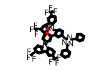 N#Cc1ccc(-n2c3ccc(C(F)(F)F)cc3c3cc(C(F)(F)F)ccc32)cc1-c1cc(-c2nc(-c3ccccc3)nc(-c3ccccc3)n2)ccc1-n1c2ccc(C(F)(F)F)cc2c2cc(C(F)(F)F)ccc21